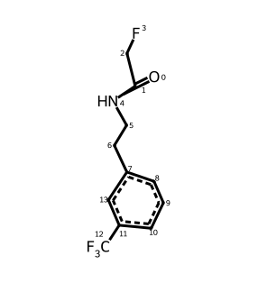 O=C(CF)NCCc1cccc(C(F)(F)F)c1